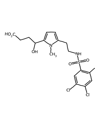 Cn1c(CCNS(=O)(=O)c2cc(Cl)c(Cl)cc2Cl)ccc1C(O)CCC(=O)O